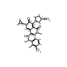 Cc1c([C@@H](C)Nc2nn(C)c(=O)c3c(N4CCC(N)C4)c(=O)n(C4CC4)cc23)cccc1C(F)(F)F